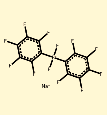 Fc1c(F)c(F)c([B-](F)(F)c2c(F)c(F)c(F)c(F)c2F)c(F)c1F.[Na+]